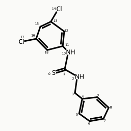 S=C(NCc1ccccc1)Nc1cc(Cl)cc(Cl)c1